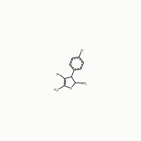 CC(=O)C1=C(C)OC([N+](=O)[O-])C1c1ccc(Cl)cc1